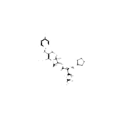 CC(=O)c1cc[n+](CC2=C(C(=O)[O-])N3C(=O)C(NC(=O)C(=NOC4CCCC4)c4nsc(N)n4)[C@@H]3SC2)cc1